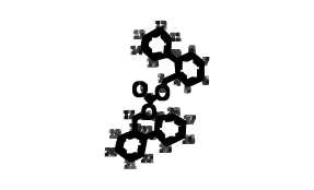 O=C(OCc1ccccc1-c1ccccc1)OCc1ccccc1-c1ccccc1